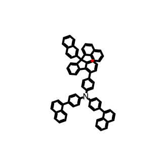 c1ccc2c(c1)-c1c(-c3ccc(N(c4ccc(-c5cccc6ccccc56)cc4)c4ccc(-c5cccc6ccccc56)cc4)cc3)cccc1C2(c1ccc2ccccc2c1)c1cccc2ccccc12